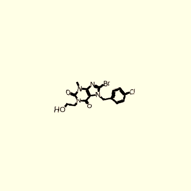 Cn1c(=O)n(CCO)c(=O)c2c1nc(Br)n2Cc1ccc(Cl)cc1